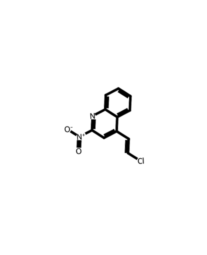 O=[N+]([O-])c1cc(C=CCl)c2ccccc2n1